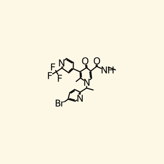 CCNC(=O)c1cn(C(C)c2ccc(Br)cn2)c(C)c(-c2ccnc(C(F)(F)F)c2)c1=O